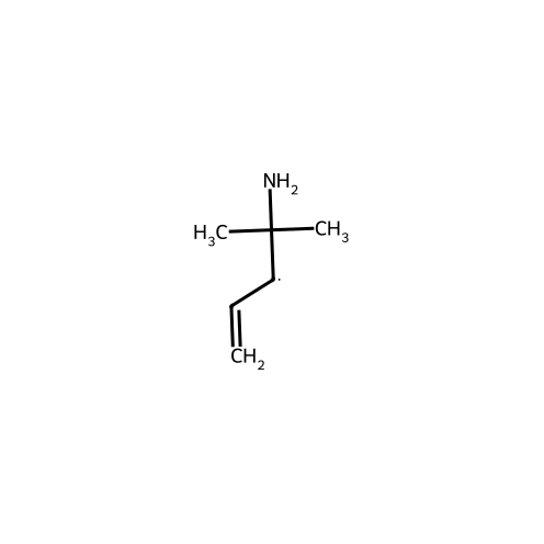 C=C[CH]C(C)(C)N